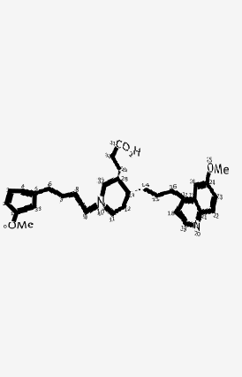 COc1cccc(CCCCN2CC[C@@H](CCCc3ccnc4ccc(OC)cc34)[C@@H](CCC(=O)O)C2)c1